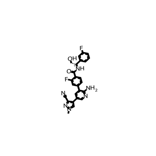 Cn1cc(-c2cnc(N)c(-c3ccc(C(=O)N[C@H](CO)c4cccc(F)c4)c(F)c3)c2)c(C#N)n1